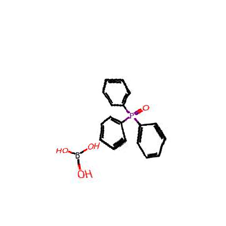 O=P(c1ccccc1)(c1ccccc1)c1ccccc1.OB(O)O